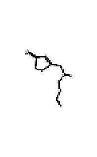 CCCCC(C)CC1=CC(=O)CC1